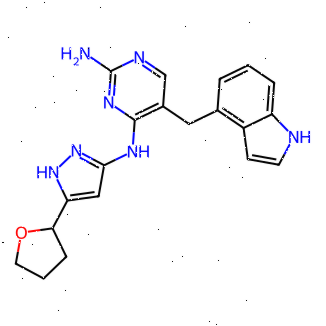 Nc1ncc(Cc2cccc3[nH]ccc23)c(Nc2cc(C3CCCO3)[nH]n2)n1